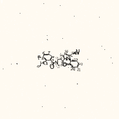 CCOc1c(F)cccc1C(=O)N1CCC2(CC1)Oc1ccccc1-n1c(C#N)ccc12